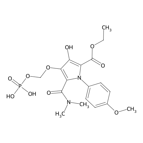 CCOC(=O)c1c(O)c(OCOP(=O)(O)O)c(C(=O)N(C)C)n1-c1ccc(OC)cc1